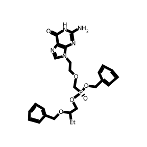 CCC(COP(=O)(COCCn1cnc2c(=O)[nH]c(N)nc21)OCc1ccccc1)OCc1ccccc1